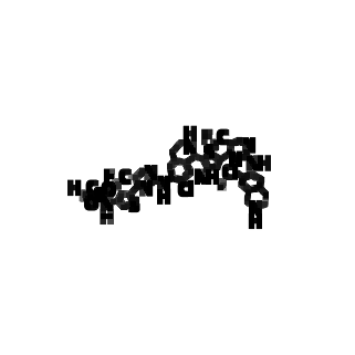 CS(=O)(=O)Nc1csc(-c2nc(Nc3cc4c(cc3Cl)C(c3sc(-c5nc(Nc6cc7c(cc6Cl)CNCC7)ncc5C(F)(F)F)cc3N)NCC4)ncc2C(F)(F)F)c1